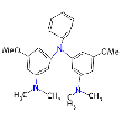 COc1cc(N(C)C)cc(N(c2ccccc2)c2cc(OC)cc(N(C)C)c2)c1